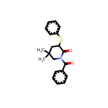 CC1(C)CC(Sc2ccccc2)C(=O)N(C(=O)c2ccccc2)C1